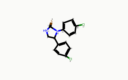 S=C1NCC(c2ccc(Cl)cc2)N1c1ccc(Cl)cc1